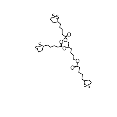 O=C(CCCCC1CCSS1)OCCCCC(COC(=O)CCCCC1CCSS1)OC(=O)CCCCC1CCSS1